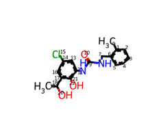 Cc1ccccc1CNC(=O)Nc1cc(Cl)cc(C(C)O)c1O